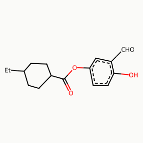 CCC1CCC(C(=O)Oc2ccc(O)c(C=O)c2)CC1